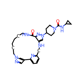 O=C1NCCCCCCn2cc(cn2)-c2cccc(n2)CNc2cn(C3CCN(C(=O)NC4CC4)CC3)nc21